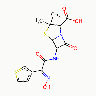 CC1(C)SC2C(NC(=O)C(=NO)c3ccsc3)C(=O)N2C1C(=O)O